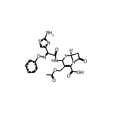 CC(=O)OCC1=C(C(=O)O)N2C(=O)C[C@H]2SC1NC(=O)C(=NOc1ccccc1)c1csc(N)n1